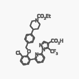 CCOC(=O)N1CCC(c2ccc(COc3c(Cl)cccc3-c3cccc(-n4ncc(C(=O)O)c4C(F)(F)F)n3)cc2)CC1